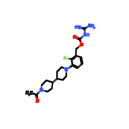 CC(=O)N1CCC(C2CCN(c3cccc(COC(=O)NC(=N)N)c3F)CC2)CC1